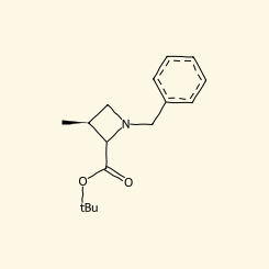 C[C@H]1CN(Cc2ccccc2)C1C(=O)OC(C)(C)C